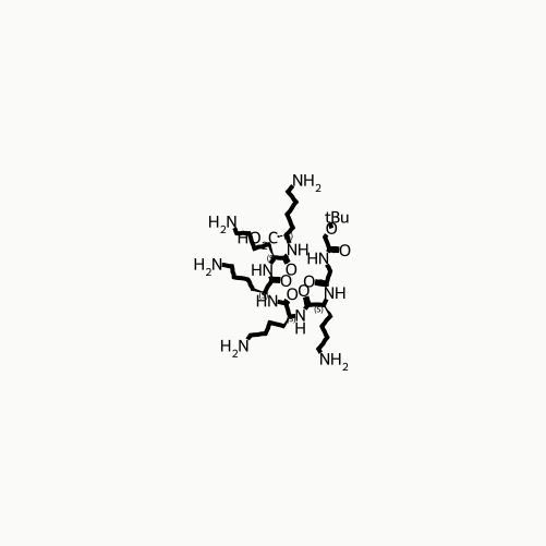 CC(C)(C)OCC(=O)NCC(=O)N[C@@H](CCCCN)C(=O)N[C@@H](CCCCN)C(=O)N[C@@H](CCCCN)C(=O)N[C@@H](CCCCN)C(=O)N[C@@H](CCCCN)C(=O)O